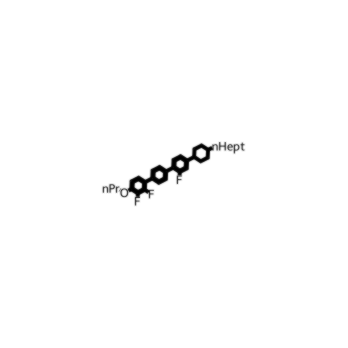 CCCCCCCC1CCC(c2ccc(-c3ccc(-c4ccc(OCCC)c(F)c4F)cc3)c(F)c2)CC1